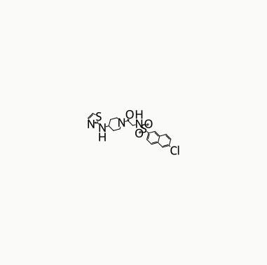 O=C(CNS(=O)(=O)c1ccc2cc(Cl)ccc2c1)N1CCC(Nc2nccs2)CC1